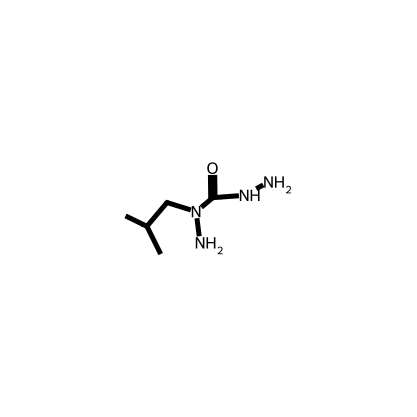 C[C](C)CN(N)C(=O)NN